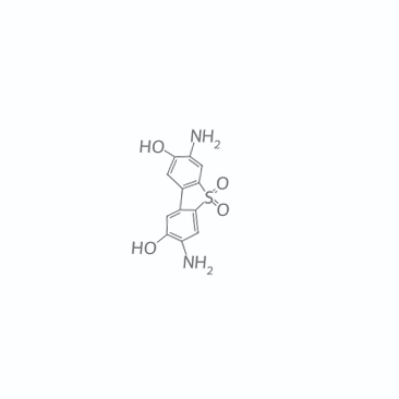 Nc1cc2c(cc1O)-c1cc(O)c(N)cc1S2(=O)=O